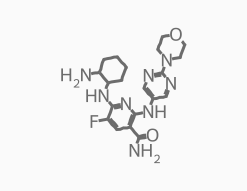 NC(=O)c1cc(F)c(NC2CCCCC2N)nc1Nc1cnc(N2CCOCC2)nc1